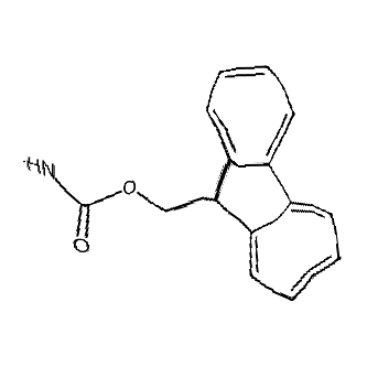 [NH]C(=O)OCC1c2ccccc2-c2ccccc21